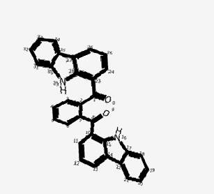 O=C(c1ccccc1C(=O)c1cccc2c1[nH]c1ccccc12)c1cccc2c1[nH]c1ccccc12